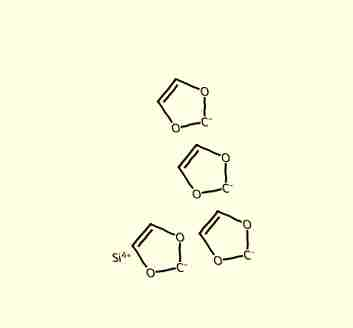 C1=CO[CH-]O1.C1=CO[CH-]O1.C1=CO[CH-]O1.C1=CO[CH-]O1.[Si+4]